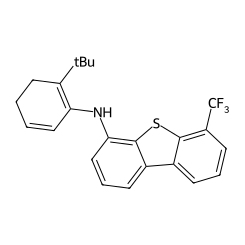 CC(C)(C)C1=C(Nc2cccc3c2sc2c(C(F)(F)F)cccc23)C=CCC1